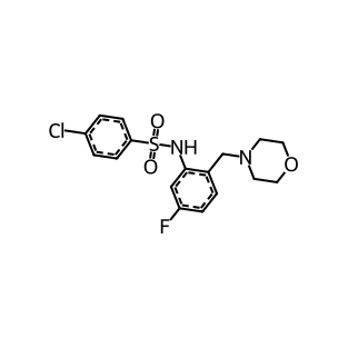 O=S(=O)(Nc1cc(F)ccc1CN1CCOCC1)c1ccc(Cl)cc1